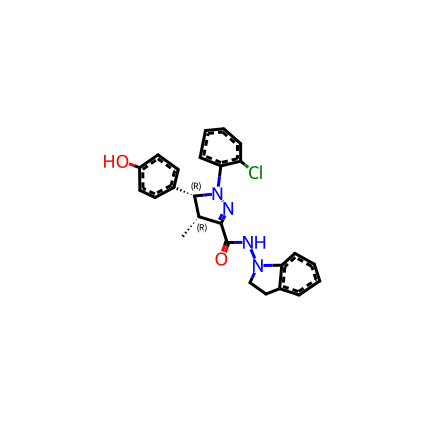 C[C@H]1C(C(=O)NN2CCc3ccccc32)=NN(c2ccccc2Cl)[C@H]1c1ccc(O)cc1